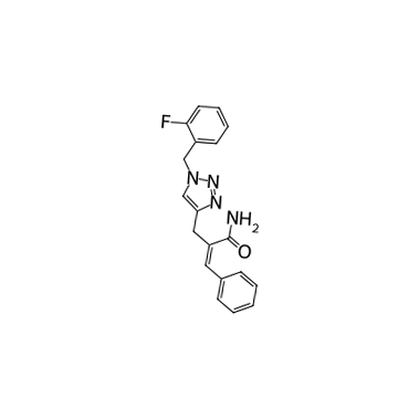 NC(=O)C(=Cc1ccccc1)Cc1cn(Cc2ccccc2F)nn1